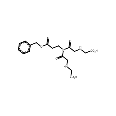 O=C(O)CNCC(=O)N(CCC(=O)OCc1ccccc1)C(=O)CNCC(=O)O